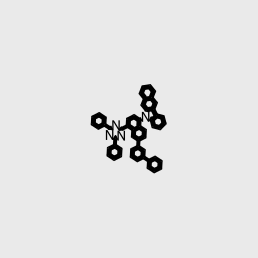 c1ccc(-c2cccc(-c3ccc4c(-n5c6ccccc6c6cc7ccccc7cc65)ccc(-c5nc(-c6ccccc6)nc(-c6ccccc6)n5)c4c3)c2)cc1